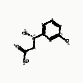 O=NC(=O)C[C@H](N=O)c1cccc(Cl)c1